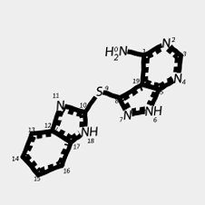 Nc1ncnc2[nH]nc(Sc3nc4ccccc4[nH]3)c12